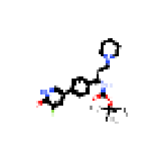 CC(C)(C)OC(=O)N[C@H](CCN1CCCCC1)c1ccc(-c2c[nH]c(=O)c(F)c2)cc1